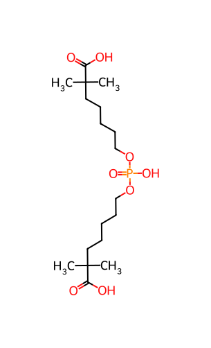 CC(C)(CCCCCOP(=O)(O)OCCCCCC(C)(C)C(=O)O)C(=O)O